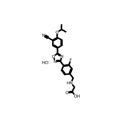 CC(C)Oc1ccc(-c2nc(-c3ccc(CNCC(=O)O)cc3F)no2)cc1C#N.Cl